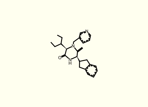 C=C1[C@@H](C2Cc3ccccc3C2)NC(=O)[C@@H](C(CC)CC)N1Cc1cccnc1